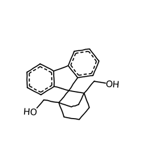 OCC12CCCC(CO)(CC1)C21c2ccccc2-c2ccccc21